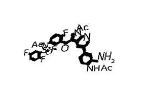 CC(=O)Nc1ccc(-c2cnc3c(c2)c(C(=O)c2c(F)ccc(N(C(C)=O)[S+]([O-])c4cc(F)ccc4F)c2F)cn3C(C)=O)cc1CN